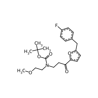 COCCN(CCC(=O)c1ccc(Cc2ccc(F)cc2)o1)C(=O)OC(C)(C)C